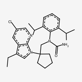 CCc1cn(C2(CN(C(N)=O)c3c(C(C)C)cccc3C(C)C)CCCC2)c2ncc(Cl)cc12